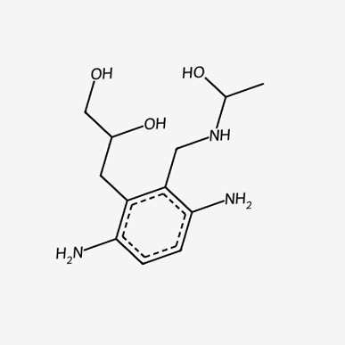 CC(O)NCc1c(N)ccc(N)c1CC(O)CO